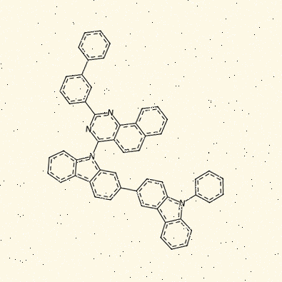 c1ccc(-c2cccc(-c3nc(-n4c5ccccc5c5ccc(-c6ccc7c(c6)c6ccccc6n7-c6ccccc6)cc54)c4ccc5ccccc5c4n3)c2)cc1